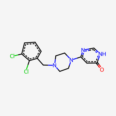 O=c1cc(N2CCN(Cc3cccc(Cl)c3Cl)CC2)nc[nH]1